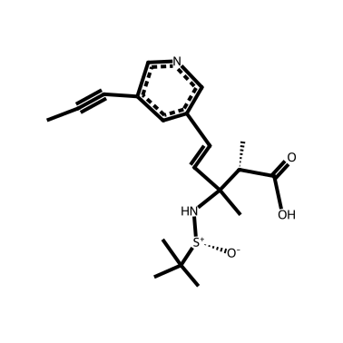 CC#Cc1cncc(C=CC(C)(N[S@+]([O-])C(C)(C)C)[C@H](C)C(=O)O)c1